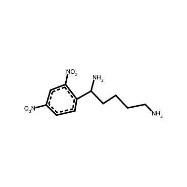 NCCCCC(N)c1ccc([N+](=O)[O-])cc1[N+](=O)[O-]